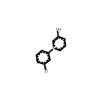 Oc1ccc[n+](-c2cccc(Cl)c2)c1